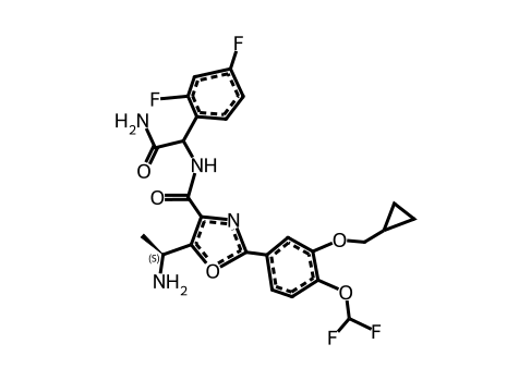 C[C@H](N)c1oc(-c2ccc(OC(F)F)c(OCC3CC3)c2)nc1C(=O)NC(C(N)=O)c1ccc(F)cc1F